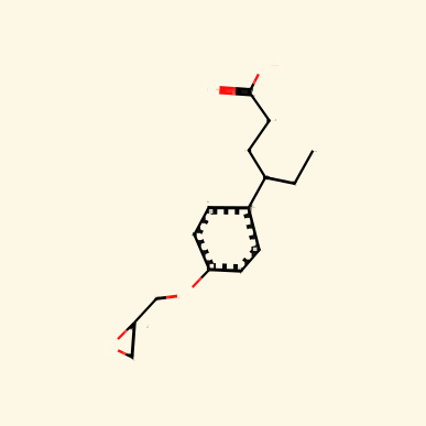 CCC(CCC(=O)O)c1ccc(OCC2CO2)cc1